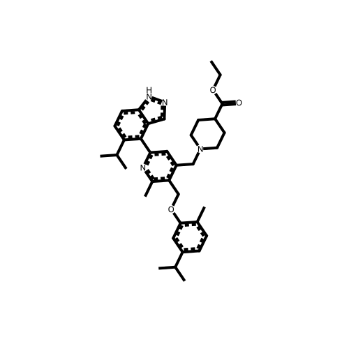 CCOC(=O)C1CCN(Cc2cc(-c3c(C(C)C)ccc4[nH]ncc34)nc(C)c2COc2cc(C(C)C)ccc2C)CC1